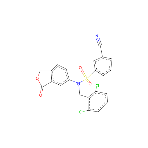 N#Cc1cccc(S(=O)(=O)N(Cc2c(Cl)cccc2Cl)c2ccc3c(c2)C(=O)OC3)c1